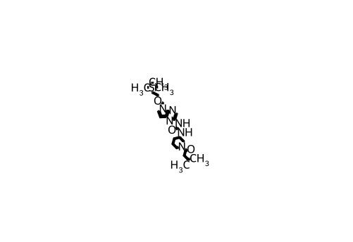 CC(C)CC(=O)N1CCCC(NC(=O)Nc2cnc3c(ccn3COCC[Si](C)(C)C)n2)C1